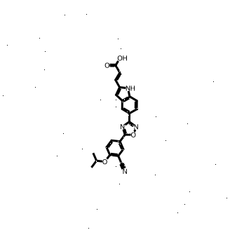 CC(C)Oc1ccc(-c2nc(-c3ccc4[nH]c(C=CC(=O)O)cc4c3)no2)cc1C#N